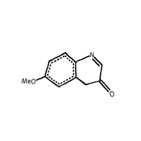 COc1ccc2c(c1)CC(=O)C=N2